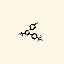 CS(=O)(=O)c1ccc(-c2nc(C(F)(F)F)cn2-c2ccc(Cl)cc2)cc1